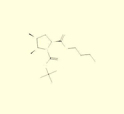 CCCCOC(=O)[C@@H]1C[C@H](C)[C@H](C)N1C(=O)OC(C)(C)C